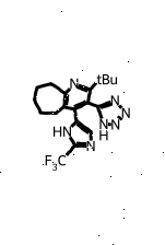 CC(C)(C)c1nc2c(c(-c3cnc(C(F)(F)F)[nH]3)c1-c1nnn[nH]1)CCCCC2